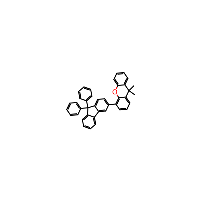 CC1(C)c2ccccc2Oc2c(-c3ccc4c(c3)-c3ccccc3C4(c3ccccc3)c3ccccc3)cccc21